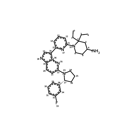 CCC1(CC)CC(N)CCN1c1cccc(-c2cnc3ccc(N4CCC[C@@H]4c4cccc(F)c4)nn23)n1